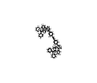 O=C([C@@H](c1ccccc1)N1CCCCC1)N1CCC[C@H]1c1ncc(-c2ccc(C#Cc3ccc(-c4cnc([C@@H]5CCCN5C(=O)[C@@H](c5ccccc5)N5CCCCC5)[nH]4)cc3)cc2)[nH]1